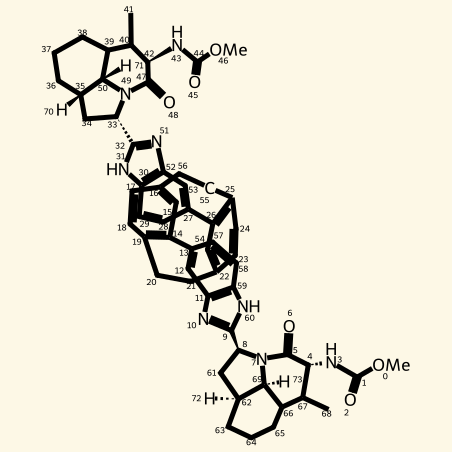 COC(=O)N[C@H]1C(=O)N2[C@H](c3nc4cc(-c5cc6ccc5CCc5ccc(c(-c7ccc8[nH]c([C@@H]9C[C@@H]%10CCCC%11C(C)[C@@H](NC(=O)OC)C(=O)N9[C@@H]%11%10)nc8c7)c5)CC6)ccc4[nH]3)C[C@@H]3CCCC(C1C)[C@@H]32